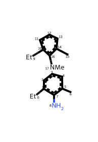 CCc1cccc(C)c1N.CCc1cccc(C)c1NC